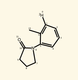 [2H]c1cccc(N2CCCC2=O)c1C